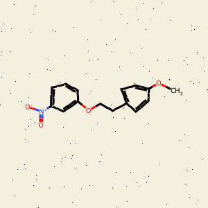 COc1ccc(CCOc2cccc([N+](=O)[O-])c2)cc1